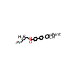 CCCCC[C@]1(C#N)CC[C@H](c2ccc(-c3ccc(C(=O)OCC[C@H](C)CCCC(C)C)cc3)cc2)CC1